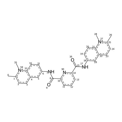 Cc1ccc2cc(NC(=O)c3cccc(C(=O)Nc4ccc5c(ccc(C)[n+]5C)c4)n3)ccc2[n+]1C